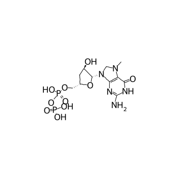 CN1CN([C@@H]2O[C@H](COP(=O)(O)OP(=O)(O)O)C[C@H]2O)c2nc(N)[nH]c(=O)c21